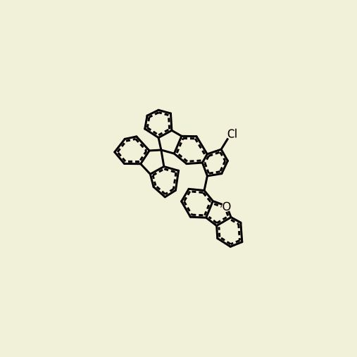 Clc1ccc(-c2cccc3c2oc2ccccc23)c2cc3c(cc12)-c1ccccc1C31c2ccccc2-c2ccccc21